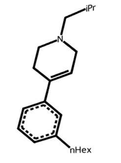 [CH2]C(C)CN1CC=C(c2cccc(CCCCCC)c2)CC1